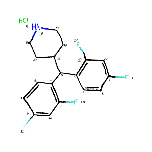 Cl.Fc1ccc(C(c2ccc(F)cc2F)C2CCNCC2)c(F)c1